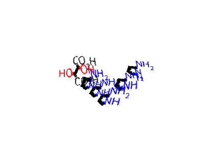 Nc1ccc[nH]1.Nc1ccc[nH]1.Nc1ccc[nH]1.Nc1ccc[nH]1.Nc1ccc[nH]1.O=C(O)C(O)C(O)C(=O)O